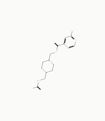 O=C(O)NCC1CCC(CNC(=O)c2ccnc(Br)c2)CC1